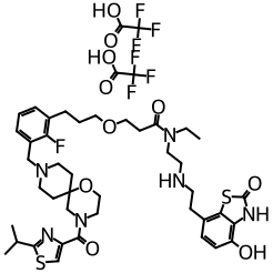 CCN(CCNCCc1ccc(O)c2[nH]c(=O)sc12)C(=O)CCOCCCc1cccc(CN2CCC3(CC2)CN(C(=O)c2csc(C(C)C)n2)CCO3)c1F.O=C(O)C(F)(F)F.O=C(O)C(F)(F)F